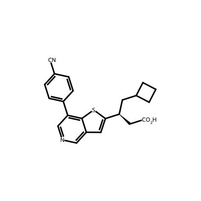 N#Cc1ccc(-c2cncc3cc([C@H](CC(=O)O)CC4CCC4)sc23)cc1